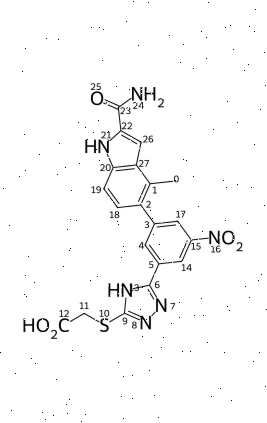 Cc1c(-c2cc(-c3nnc(SCC(=O)O)[nH]3)cc([N+](=O)[O-])c2)ccc2[nH]c(C(N)=O)cc12